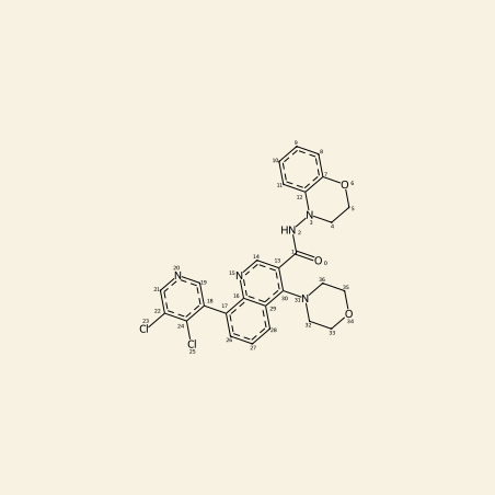 O=C(NN1CCOc2ccccc21)c1cnc2c(-c3cncc(Cl)c3Cl)cccc2c1N1CCOCC1